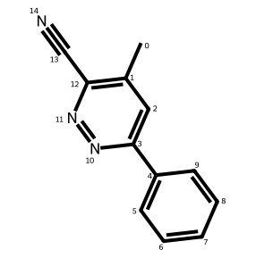 Cc1cc(-c2ccccc2)nnc1C#N